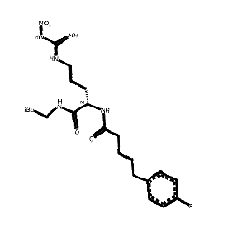 [CH2]CC(C)CNC(=O)[C@H](CCCNC(=N)N[N+](=O)[O-])NC(=O)CCCCc1ccc(F)cc1